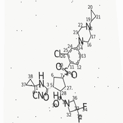 N#CC1(NC(=O)[C@@H]2C[C@@H](S(=O)(=O)c3ccc(N4CCN(C5CC5)CC4)cc3Cl)C[C@H]2C(O)N2CC(F)(F)C2)CC1